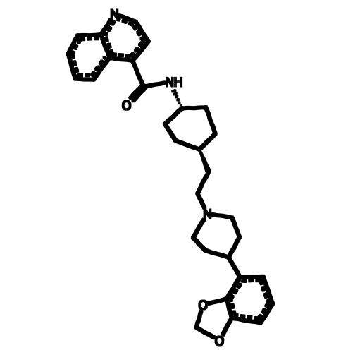 O=C(N[C@H]1CC[C@H](CCN2CCC(c3cccc4c3OCO4)CC2)CC1)c1ccnc2ccccc12